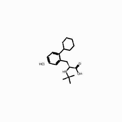 CC(C)(C)N[C@@H](Cc1ccccc1C1CCCCC1)C(=O)O.Cl